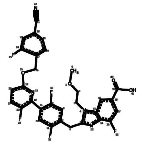 COCCn1c(Cc2cc(F)c(-c3nc(OCc4ccc(C#N)cc4F)ccc3F)cc2F)nc2c(F)cc(C(=O)O)cc21